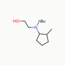 CCCCN(CCO)C1CCCC1C